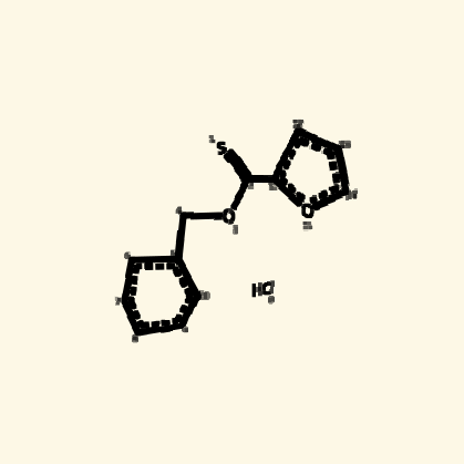 Cl.S=C(OCc1ccccc1)c1ccco1